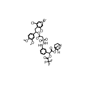 COc1ccc(C(Cc2c(Cl)c[n+]([O-])cc2Cl)OC(=O)CS(=O)(=O)NNc2cccc(C(OC(=O)C(F)(F)F)C(=O)O[C@H]3CN4CCC3CC4)c2)cc1OC